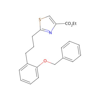 CCOC(=O)c1csc(CCCc2ccccc2OCc2ccccc2)n1